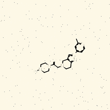 CCCCN1CCN(C(=O)CN2CCc3nn(-c4ccnc(C)c4)cc3C2)CC1